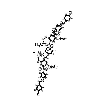 COc1cc2c(cc1S(=O)(=O)c1ccc(OCc3ccc(Cl)cc3)cc1)CCN(C)CC2OC(=O)/C=C\C(=O)OC1CN(C)CCc2cc(S(=O)(=O)c3ccc(OCc4ccc(Cl)cc4)cc3)c(OC)cc21